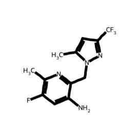 Cc1nc(Cn2nc(C(F)(F)F)cc2C)c(N)cc1F